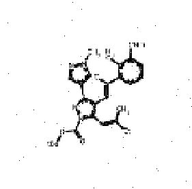 CC/C(C)=C/c1c(/C=C(\C)c2cccc(C=O)c2C)c(-c2cnn(C)c2)nn1C(=O)OC(C)(C)C